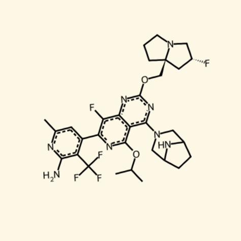 Cc1cc(-c2nc(OC(C)C)c3c(N4CC5CCC(C4)N5)nc(OC[C@@]45CCCN4C[C@H](F)C5)nc3c2F)c(C(F)(F)F)c(N)n1